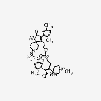 CON1CCC2(CC1)NC(=O)C(c1cc(C)ccc1C)=C2CCOC(=O)OCCC1=C(c2cc(C)ccc2C)C(=O)NC12CCN(OC)CC2